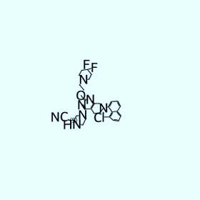 N#CC[C@H]1CN(c2nc(OCCN3CCC(F)(F)CC3)nc3c2CCN(c2cccc4cccc(Cl)c24)C3)CCN1